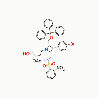 CC(=O)O[C@H](CO)CCN1[C@H](COC(c2ccccc2)(c2ccccc2)c2ccccc2)[C@H](c2ccc(Br)cc2)[C@@H]1CNS(=O)(=O)c1ccccc1[N+](=O)[O-]